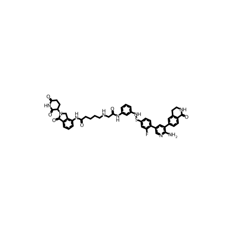 Nc1ncc(-c2ccc(SNc3cccc(NC(=O)CNCCCCC(=O)Nc4cccc5c4CN(C4CCC(=O)NC4=O)C5=O)c3)cc2F)cc1-c1ccc2c(c1)CCNC2=O